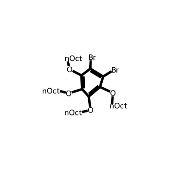 CCCCCCCCOc1c(Br)c(Br)c(OCCCCCCCC)c(OCCCCCCCC)c1OCCCCCCCC